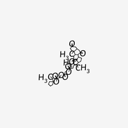 CCC1(OC(=O)COC(=O)COC(=O)CCC(C)C2CCC3C4C(=O)CC5CC(=O)CCC5(C)C4CC(=O)C23C)CCCC1